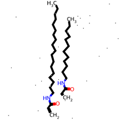 C=CC(=O)NCCCCCCCCCCCC.C=CC(=O)NCCCCCCCCCCCCCCCCCC